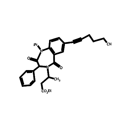 CCOC(=O)CC(C)N1C(=O)c2cc(C#CCCCC#N)ccc2N(C(C)C)C(=O)C1c1ccccc1